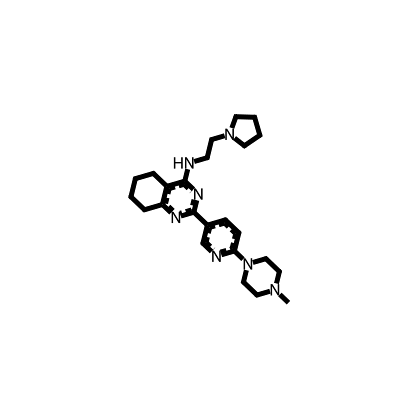 CN1CCN(c2ccc(-c3nc4c(c(NCCN5CCCC5)n3)CCCC4)cn2)CC1